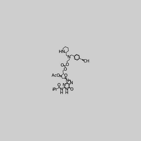 C#Cc1ccc(CN(CCOC(=O)OCC2O[C@@H](n3cnc4c(=O)[nH]c(NC(=O)C(C)C)nc43)C[C@H]2OC(C)=O)CC2CCCCN2)cc1